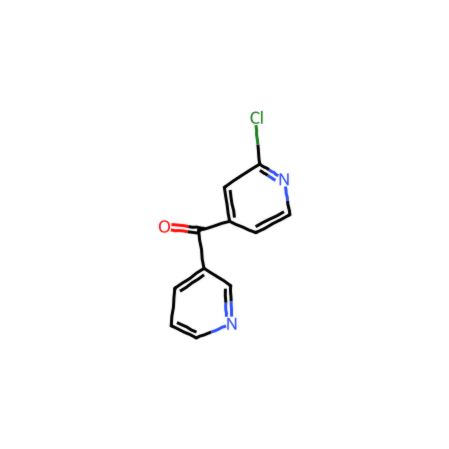 O=C(c1cccnc1)c1ccnc(Cl)c1